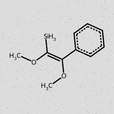 COC([SiH3])=C(OC)c1ccccc1